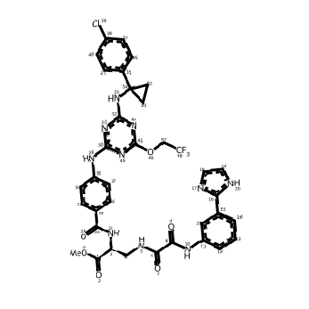 COC(=O)[C@H](CNC(=O)C(=O)Nc1cccc(-c2ncc[nH]2)c1)NC(=O)c1ccc(Nc2nc(NC3(c4ccc(Cl)cc4)CC3)nc(OCC(F)(F)F)n2)cc1